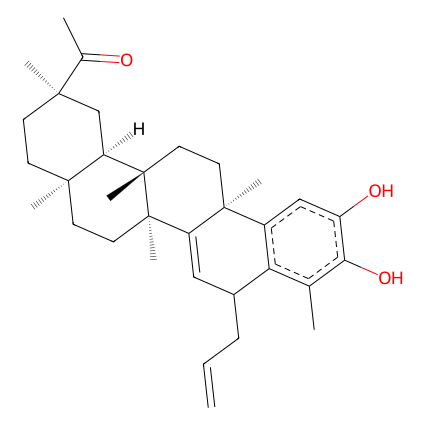 C=CCC1C=C2[C@@](C)(CC[C@@]3(C)[C@@H]4C[C@](C)(C(C)=O)CC[C@]4(C)CC[C@]23C)c2cc(O)c(O)c(C)c21